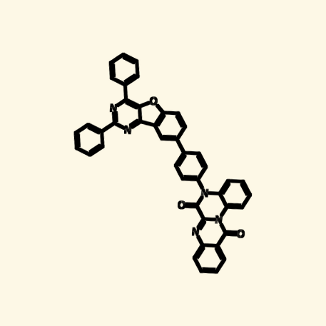 O=c1c2nc3ccccc3c(=O)n2c2ccccc2n1-c1ccc(-c2ccc3oc4c(-c5ccccc5)nc(-c5ccccc5)nc4c3c2)cc1